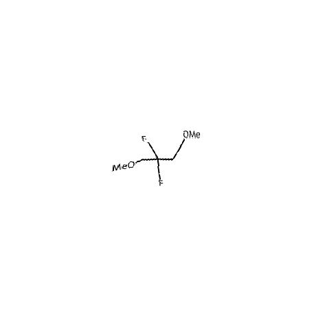 COCC(F)(F)OC